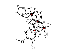 COc1ccc(N(C(=O)O)c2cccc(C3C4CCC3CN(Cc3ccccc3)C4)c2C)cc1O